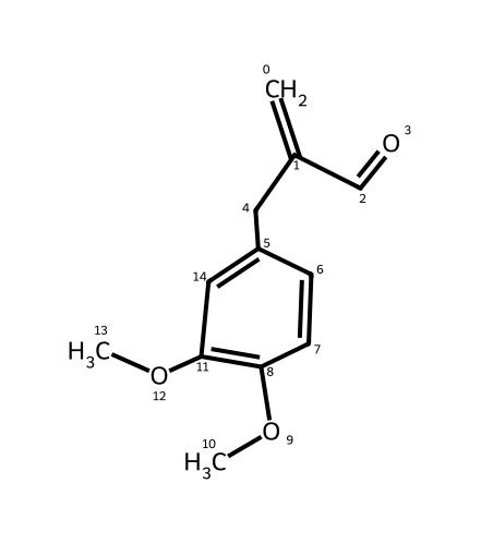 C=C(C=O)Cc1ccc(OC)c(OC)c1